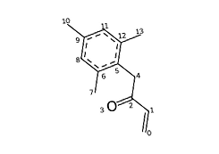 C=CC(=O)Cc1c(C)cc(C)cc1C